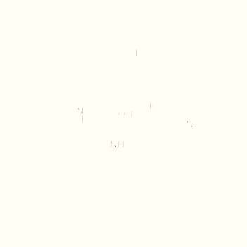 CC(=O)NC(Cc1cc(F)cc(F)c1)C(O)CNC1CCOc2ccc(-c3cccc(C#N)c3)cc21